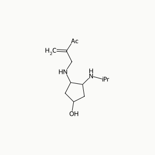 C=C(CNC1CC(O)CC1NC(C)C)C(C)=O